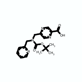 CC(C)(C)OC(=O)N(Cc1ccccn1)Cc1cnc(C(=O)O)cn1